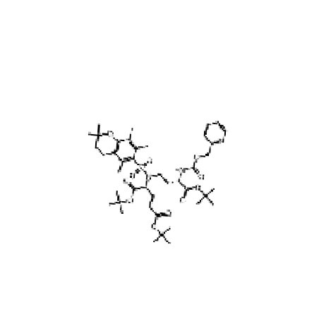 Cc1c(C)c(S(=O)(=O)N(CC[C@H](NC(=O)OCc2ccccc2)C(=O)OC(C)(C)C)[C@@H](CCC(=O)OC(C)(C)C)C(=O)OC(C)(C)C)c(C)c2c1OC(C)(C)CC2